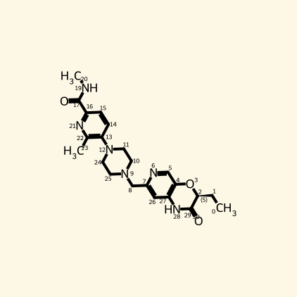 CC[C@@H]1Oc2cnc(CN3CCN(c4ccc(C(=O)NC)nc4C)CC3)cc2NC1=O